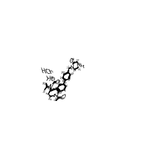 CC(=O)N1c2ccc(-c3ccc(CN4CCNCC4=O)cc3)cc2[C@H](N(C(=O)O)C(C)C)C[C@@H]1C.Cl